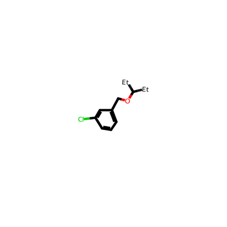 CCC(CC)OCc1cccc(Cl)c1